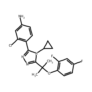 CC(C)(Oc1ccc(F)cc1F)c1nnc(-c2ccc(N)cc2Cl)n1C1CC1